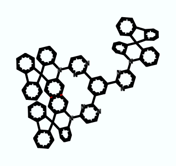 c1ccc2c(c1)-c1ccccc1C21c2ccccc2N(c2ccnc(-c3cc(-c4nccc(N5c6ccccc6C6(c7ccccc7-c7ccccc76)c6ccccc65)n4)cc(-c4nccc(N5c6ccccc6C6(c7ccccc7-c7ccccc76)c6ccccc65)n4)c3)n2)c2ccccc21